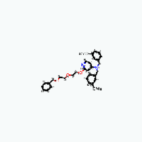 COc1cccc(CN(Cc2cccc(OC)c2)c2ccnc(OCCOCCOCc3ccccc3)c2)c1